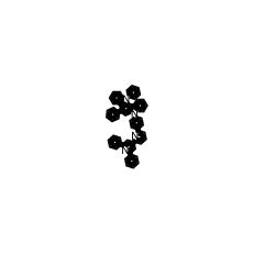 c1ccc(-c2cc(-c3cccc(-c4ccc(-n5c6ccccc6c6c5cc(-c5ccccc5)c5c7ccccc7n(-c7ccccc7)c56)cc4)n3)cc(-c3ccccc3)n2)cc1